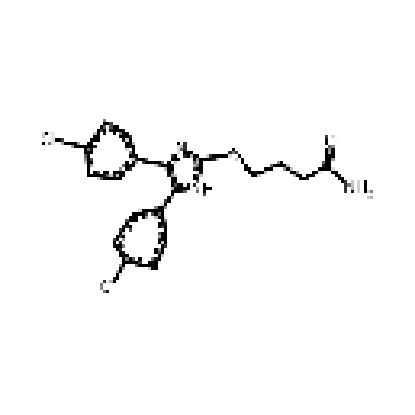 NC(=O)CCCSc1nc(-c2ccc(Cl)cc2)c(-c2ccc(Cl)cc2)[nH]1